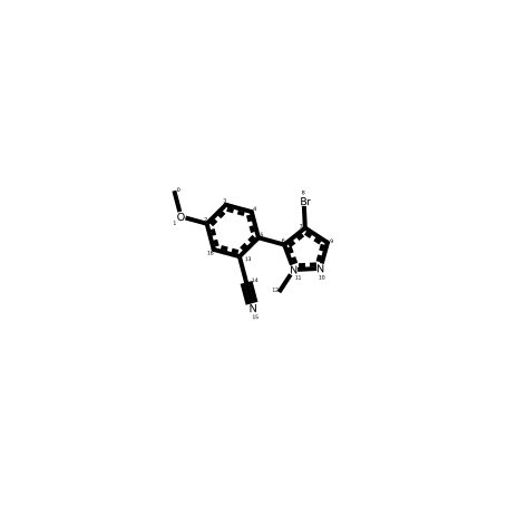 COc1ccc(-c2c(Br)cnn2C)c(C#N)c1